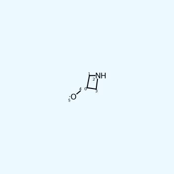 C1CNC1.C[O]